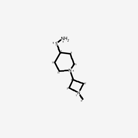 CN1CC(N2CCC(SN)CC2)C1